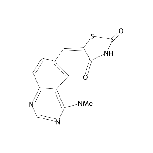 CNc1ncnc2ccc(C=C3SC(=O)NC3=O)cc12